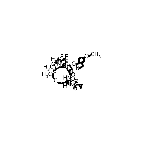 CCOc1ccc2c(O[C@@H]3C[C@H]4C(=O)N[C@]5(C(=O)NS(=O)(=O)C6CC6)C[C@H]5/C=C\CC[C@H](C)C[C@@H](CC)[C@H](N(C(=O)O)C(C)(C)C(F)(F)F)C(=O)N4C3)nccc2c1